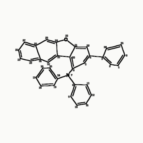 c1ccc(-c2cc(N(c3ccccc3)c3ccccc3)c3c(c2)oc2cc4ccccc4cc23)cc1